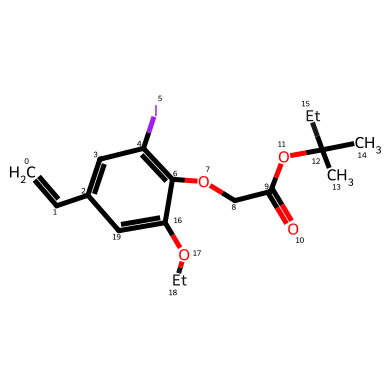 C=Cc1cc(I)c(OCC(=O)OC(C)(C)CC)c(OCC)c1